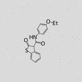 CCOc1ccc(NC(=O)C2C(=O)Sc3ccccc32)cc1